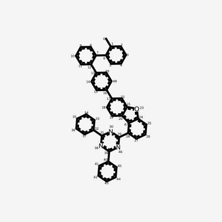 Cc1ccccc1-c1ccccc1-c1ccc(-c2ccc3c(c2)oc2cccc(-c4nc(-c5ccccc5)nc(-c5ccccc5)n4)c23)cc1